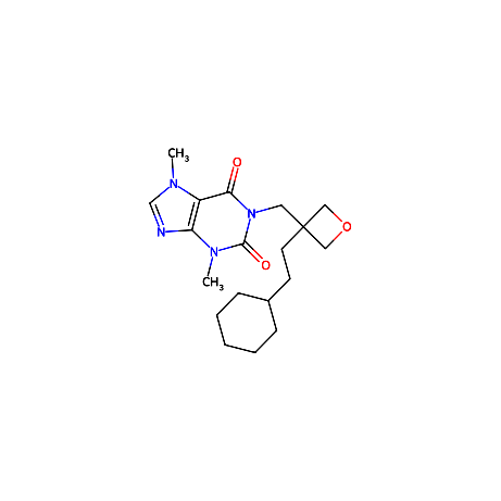 Cn1cnc2c1c(=O)n(CC1(CCC3CCCCC3)COC1)c(=O)n2C